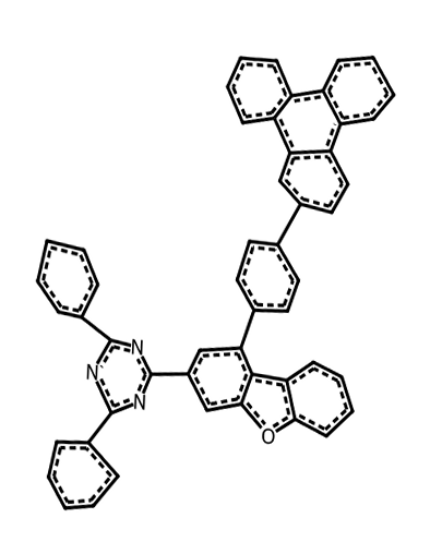 c1ccc(-c2nc(-c3ccccc3)nc(-c3cc(-c4ccc(-c5ccc6c7ccccc7c7ccccc7c6c5)cc4)c4c(c3)oc3ccccc34)n2)cc1